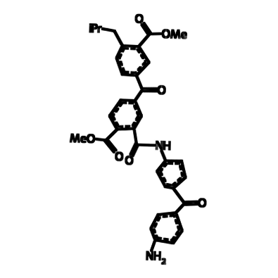 COC(=O)c1cc(C(=O)c2ccc(C(=O)OC)c(C(=O)Nc3ccc(C(=O)c4ccc(N)cc4)cc3)c2)ccc1CC(C)C